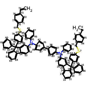 C=Cc1ccc(CSc2ccc(C3(c4ccccc4)c4ccccc4-c4ccc(N(c5ccccc5)c5ccc(-c6ccc(N(c7ccccc7)c7ccc8c(c7)C(c7ccccc7)(c7ccc(SCc9ccc(C=C)cc9)cc7)c7ccccc7-8)cc6)cc5)cc43)cc2)cc1